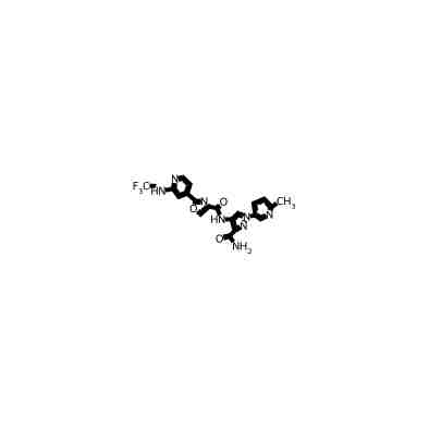 Cc1ccc(-n2cc(NC(=O)c3coc(-c4ccnc(NCC(F)(F)F)c4)n3)c(C(N)=O)n2)cn1